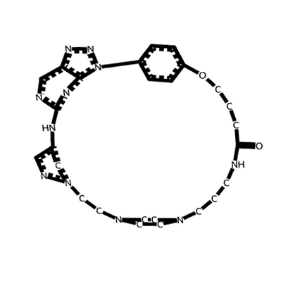 O=C1CCCOc2ccc(cc2)-n2nnc3cnc(nc32)Nc2cnn(c2)CCN2CCN(CCCN1)CC2